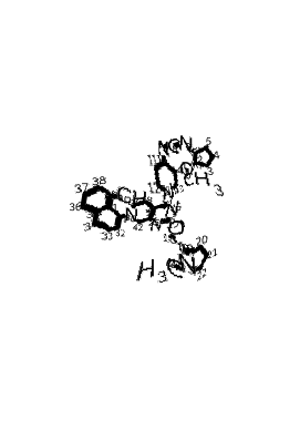 CO[C@@H]1CCC[C@@H]1N=C=NC1CCN(c2nc(OC[C@@H]3CCCN3C)nc3c2CCN(c2cccc4cccc(C)c24)C3)CC1